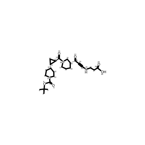 CC(C)(C)OC(=O)N1CCC([C@@H]2C[C@H]2C(=O)N2CCC[C@@H](C(=O)C#CNCCC(=O)O)C2)CC1